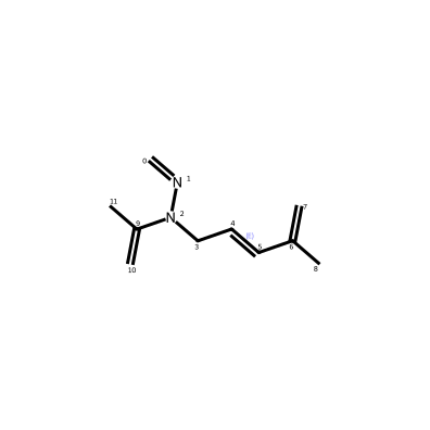 C=NN(C/C=C/C(=C)C)C(=C)C